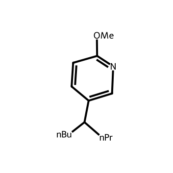 CCCCC(CCC)c1ccc(OC)nc1